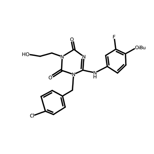 CC(C)COc1ccc(Nc2nc(=O)n(CCO)c(=O)n2Cc2ccc(Cl)cc2)cc1F